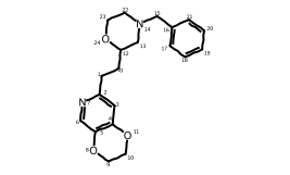 [CH](Cc1cc2c(cn1)OCCO2)C1CN(Cc2ccccc2)CCO1